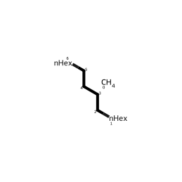 C.CCCCCCCCCCCCCCCC